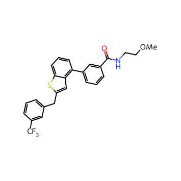 COCCNC(=O)c1cccc(-c2cccc3sc(Cc4cccc(C(F)(F)F)c4)cc23)c1